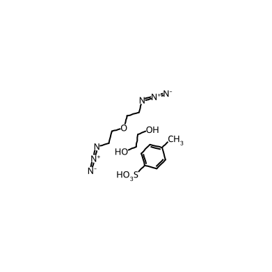 Cc1ccc(S(=O)(=O)O)cc1.OCCO.[N-]=[N+]=NCCOCCN=[N+]=[N-]